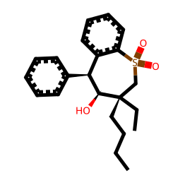 CCCC[C@]1(CC)CS(=O)(=O)c2ccccc2[C@H](c2ccccc2)[C@@H]1O